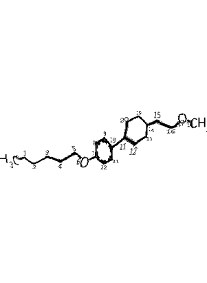 CCCCCCOc1ccc(C2CCC(CCOC)CC2)cc1